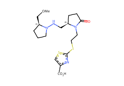 COC[C@@H]1CCCN1NC[C@H]1CCC(=O)N1CCSc1nc(C(=O)O)cs1